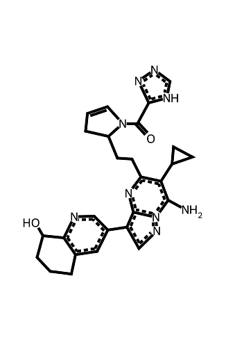 Nc1c(C2CC2)c(CCC2CC=CN2C(=O)c2nnc[nH]2)nc2c(-c3cnc4c(c3)CCCC4O)cnn12